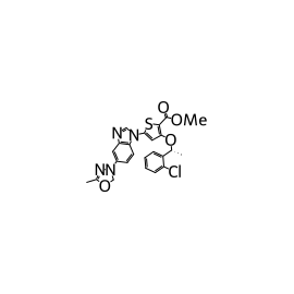 COC(=O)c1sc(-n2cnc3cc(N4COC(C)=N4)ccc32)cc1O[C@H](C)c1ccccc1Cl